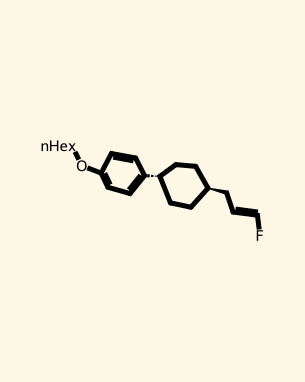 CCCCCCOc1ccc([C@H]2CC[C@H](CC=CF)CC2)cc1